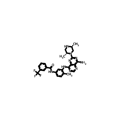 Cc1ccc(NC(=O)c2cccc(C(F)(F)F)c2)cc1Nc1ncnc2c(N)nc(N3C[C@H](C)NC[C@H]3C)nc12